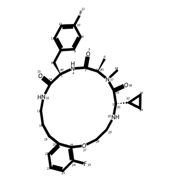 C[C@@H]1C(=O)N[C@H](Cc2ccc(F)cc2)C(=O)NCCCc2cccc(F)c2OCCN[C@@H](C2CC2)C(=O)N1C